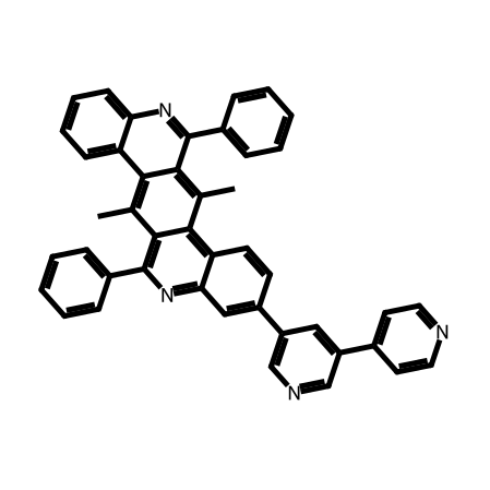 Cc1c2c(-c3ccccc3)nc3cc(-c4cncc(-c5ccncc5)c4)ccc3c2c(C)c2c(-c3ccccc3)nc3ccccc3c12